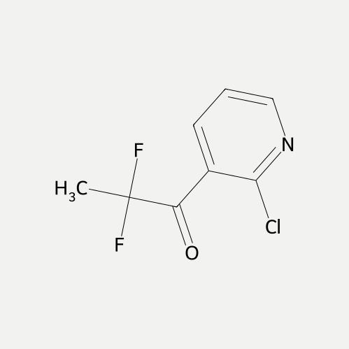 CC(F)(F)C(=O)c1cccnc1Cl